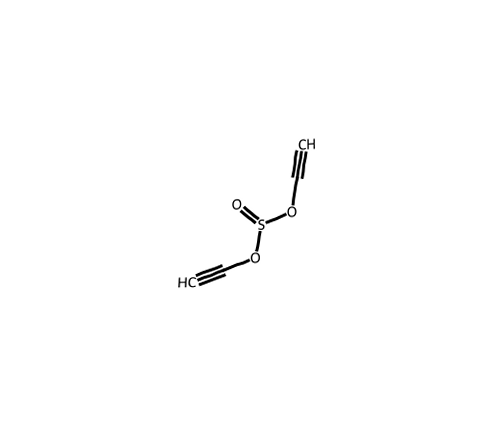 C#COS(=O)OC#C